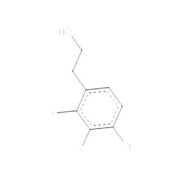 OCCc1ccc(Br)c(F)c1F